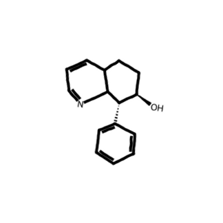 O[C@@H]1CCC2C=CC=NC2[C@H]1c1ccccc1